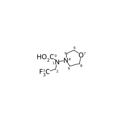 O=C(O)N(CC(F)(F)F)N1CCOCC1